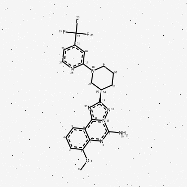 COc1cccc2c1nc(N)n1nc([C@@H]3CCCN(c4cc(C(F)(F)F)ccn4)C3)nc21